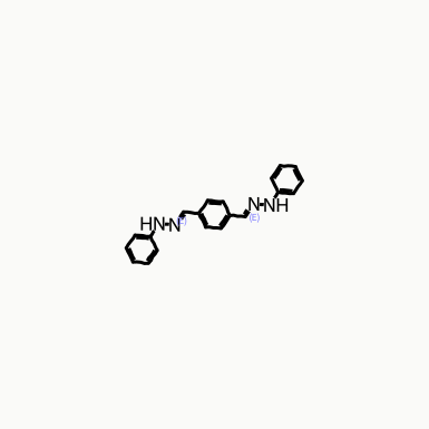 C(=N\Nc1ccccc1)/c1ccc(/C=N/Nc2ccccc2)cc1